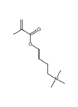 C=C(C)C(=O)OCC[CH]C[N+](C)(C)C